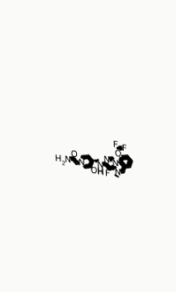 CN(Cc1cccc(OC(F)F)c1)c1ncnc(NC[C@@H]2CCN(CC(N)=O)C[C@H]2O)c1F